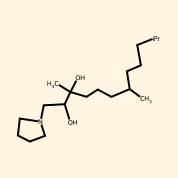 CC(C)CCCC(C)CCCC(C)(O)C(O)CN1CCCC1